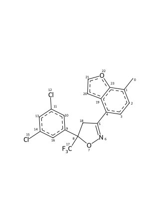 Cc1ccc(C2=NOC(c3cc(Cl)cc(Cl)c3)(C(F)(F)F)C2)c2ccoc12